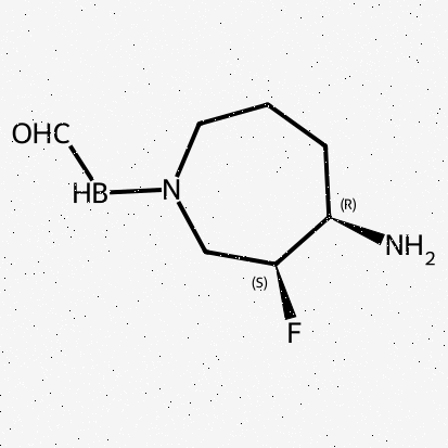 N[C@@H]1CCCN(BC=O)C[C@@H]1F